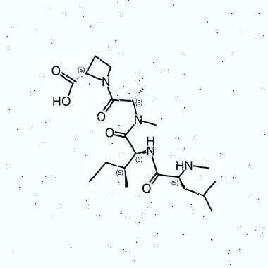 CC[C@H](C)[C@H](NC(=O)[C@H](CC(C)C)NC)C(=O)N(C)[C@@H](C)C(=O)N1CC[C@H]1C(=O)O